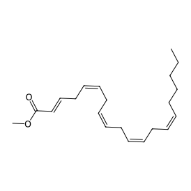 CCCCC/C=C\C/C=C\C/C=C\C/C=C\C/C=C/C(=O)OC